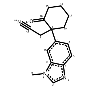 Cn1cnc2ccc(C3(CC#N)CCCCC3=O)cc21